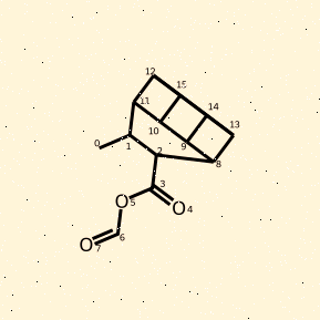 CC1C(C(=O)OC=O)C2C3C4C1C1C2C3C41